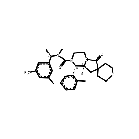 Cc1cc([C@@H](C)N(C)C(=O)N2CCN3C(=O)C4(CCOCC4)C[C@H]3[C@@H]2c2ccccc2C)cc(C(F)(F)F)c1